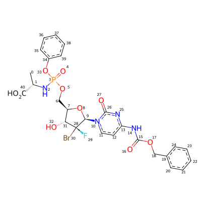 C[C@H](NP(=O)(OC[C@H]1O[C@@H](n2ccc(NC(=O)OCc3ccccc3)nc2=O)[C@](F)(Br)[C@@H]1O)Oc1ccccc1)C(=O)O